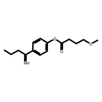 CCCC(=N)c1ccc(OC(=O)CCCOC)cc1